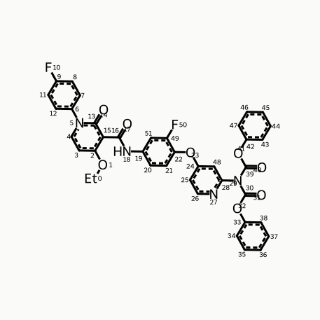 CCOc1ccn(-c2ccc(F)cc2)c(=O)c1C(=O)Nc1ccc(Oc2ccnc(N(C(=O)Oc3ccccc3)C(=O)Oc3ccccc3)c2)c(F)c1